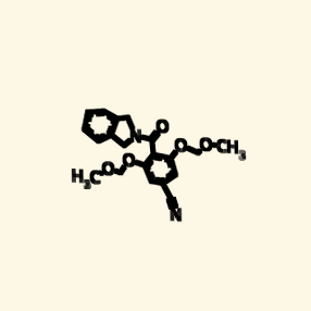 COCOc1cc(C#N)cc(OCOC)c1C(=O)N1Cc2ccccc2C1